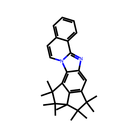 CC1(C)c2cc3nc4c5ccccc5ccn4c3c3c2C(C)(C1(C)C)C(C)(C)C3(C)C